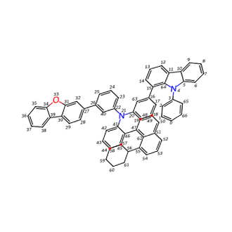 c1ccc(-n2c3ccccc3c3cccc(-c4cccc(N(c5cccc(-c6ccc7c(c6)oc6ccccc67)c5)c5ccccc5-c5cccc6cccc(C7CCCCC7)c56)c4)c32)cc1